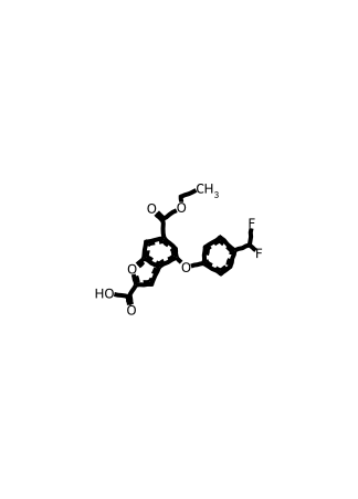 CCOC(=O)c1cc(Oc2ccc(C(F)F)cc2)c2cc(C(=O)O)oc2c1